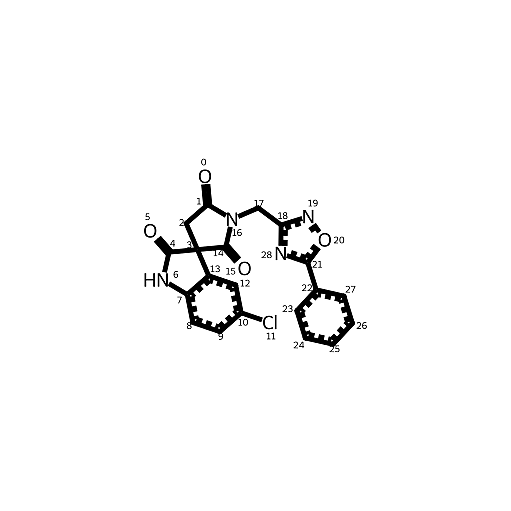 O=C1CC2(C(=O)Nc3ccc(Cl)cc32)C(=O)N1Cc1noc(-c2ccccc2)n1